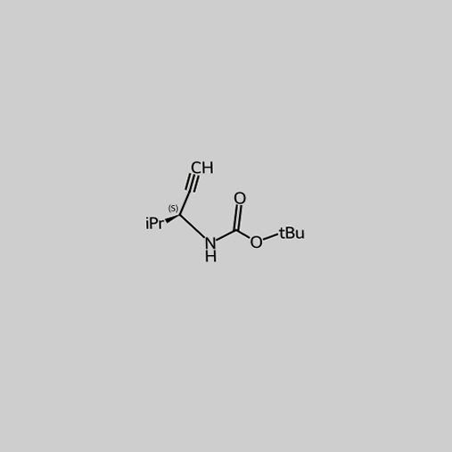 C#C[C@@H](NC(=O)OC(C)(C)C)C(C)C